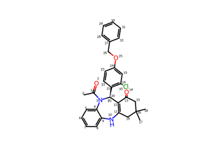 CC(=O)N1c2ccccc2NC2=C(C(=O)CC(C)(C)C2)[C@@H]1c1ccc(OCc2ccccc2)cc1Cl